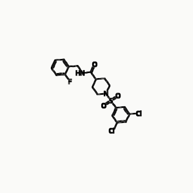 O=C(NCc1ccccc1F)C1CCN(S(=O)(=O)c2cc(Cl)cc(Cl)c2)CC1